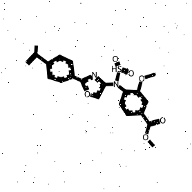 C=C(C)c1ccc(-c2nc(N(c3ccc(C(=O)OC)cc3OC)[SH](=O)=O)co2)cc1